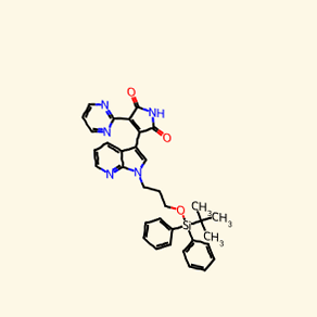 CC(C)(C)[Si](OCCCn1cc(C2=C(c3ncccn3)C(=O)NC2=O)c2cccnc21)(c1ccccc1)c1ccccc1